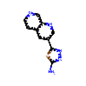 Nc1nnc(-c2cnc3cnccc3c2)s1